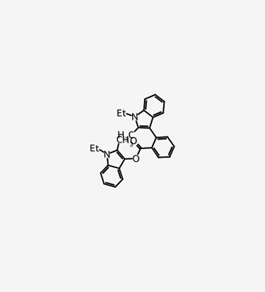 CCn1c(C)c(OC(=O)c2ccccc2-c2c(C)n(CC)c3ccccc23)c2ccccc21